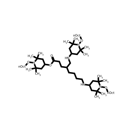 CCCCCCCCON1C(C)(C)CC(NCCCCC(CCC(=O)OC2CC(C)(C)N(OCCCCCCCC)C(C)(C)C2)CNC2CC(C)(C)N(OCCCCCCCC)C(C)(C)C2)CC1(C)C